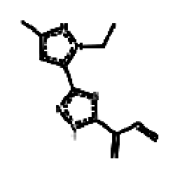 C=CC(=C)c1nc(-c2cc(C)nn2CC)n[nH]1